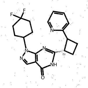 O=c1[nH]c([C@H]2CCC2c2ccccn2)nc2c1cnn2C1CCC(F)(F)CC1